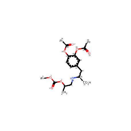 CC(C)OC(=O)OC(C)CN[C@@H](Cc1ccc(OC(=O)C(C)C)c(OC(=O)C(C)C)c1)C(=O)O